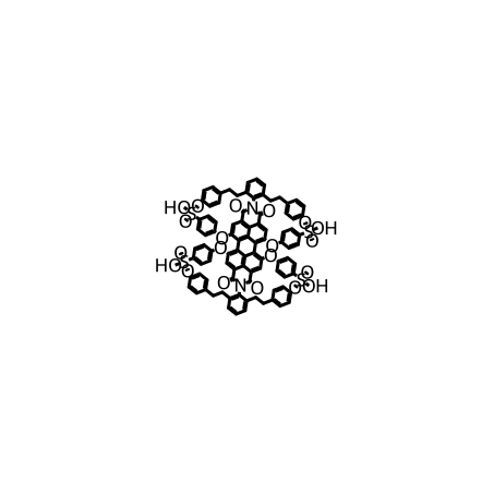 O=C1c2cc(Oc3ccc(S(=O)(=O)O)cc3)c3c4c(Oc5ccc(S(=O)(=O)O)cc5)cc5c6c(cc(Oc7ccc(S(=O)(=O)O)cc7)c(c7c(Oc8ccc(S(=O)(=O)O)cc8)cc(c2c37)C(=O)N1c1c(CCc2ccccc2)cccc1CCc1ccccc1)c64)C(=O)N(c1c(CCc2ccccc2)cccc1CCc1ccccc1)C5=O